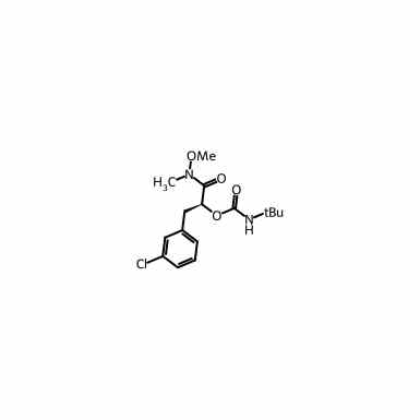 CON(C)C(=O)[C@H](Cc1cccc(Cl)c1)OC(=O)NC(C)(C)C